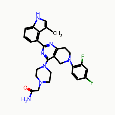 Cc1c[nH]c2cccc(-c3nc4c(c(N5CCN(CC(N)=O)CC5)n3)CN(c3ccc(F)cc3F)CC4)c12